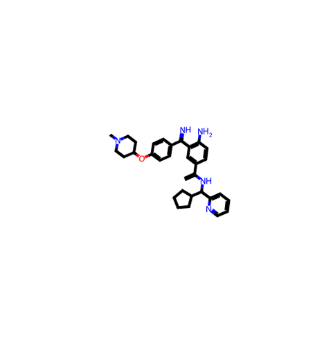 C=C(NC(c1ccccn1)C1CCCC1)c1ccc(N)c(C(=N)c2ccc(OC3CCN(C)CC3)cc2)c1